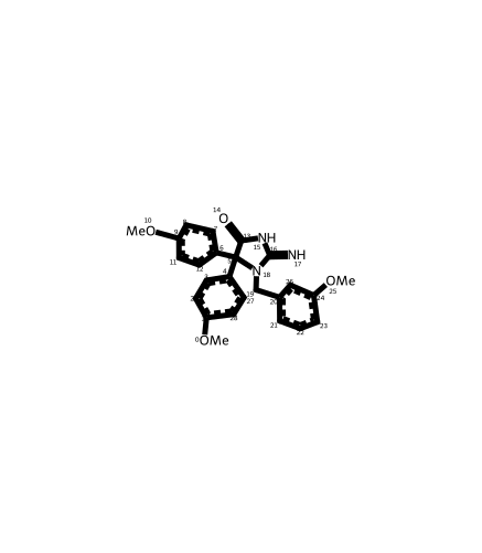 COc1ccc(C2(c3ccc(OC)cc3)C(=O)NC(=N)N2Cc2cccc(OC)c2)cc1